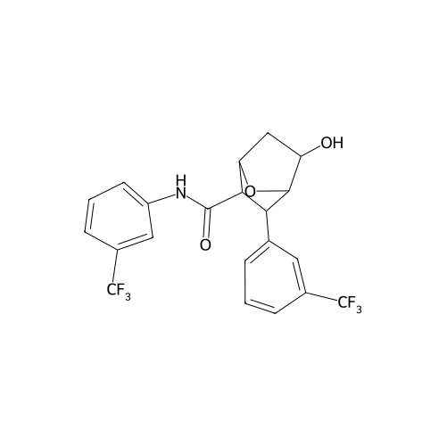 O=C(Nc1cccc(C(F)(F)F)c1)C1C2CC(O)C(O2)C1c1cccc(C(F)(F)F)c1